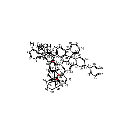 CC1(C)c2ccccc2-c2cc(N(c3ccccc3)c3cc4c(cc3-c3ccccc3)-c3cc(-c5ccccc5)ccc3C43c4ccccc4-c4ccc(N(c5ccccc5)c5ccc(C6C7CC8CC(C7)CC6C8)cc5)cc43)ccc21